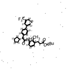 Cc1c(CCC(=O)OC(C)(C)C)cccc1NC(=O)[C@@H](c1ccc(-c2cncc(C(F)(F)F)c2)cc1)C1CCCC1